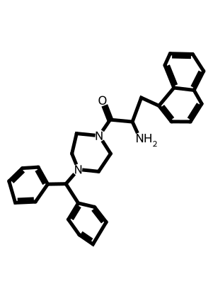 NC(Cc1cccc2ccccc12)C(=O)N1CCN(C(c2ccccc2)c2ccccc2)CC1